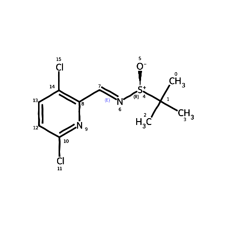 CC(C)(C)[S@+]([O-])/N=C/c1nc(Cl)ccc1Cl